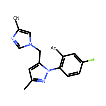 CC(=O)c1cc(F)ccc1-n1nc(C)cc1Cn1cnc(C#N)c1